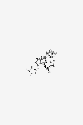 CC1CCC(Cn2cnc3nc(-c4noc(=O)[nH]4)nc(N[C@H](C)C4CCC4)c32)C1